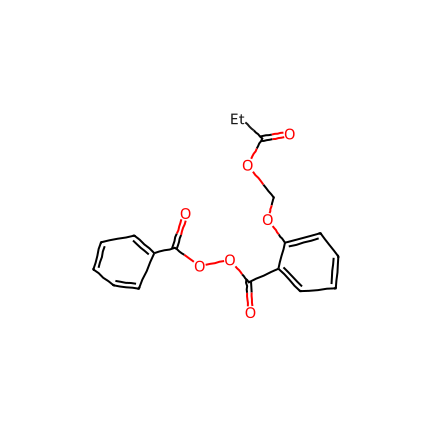 CCC(=O)OCOc1ccccc1C(=O)OOC(=O)c1ccccc1